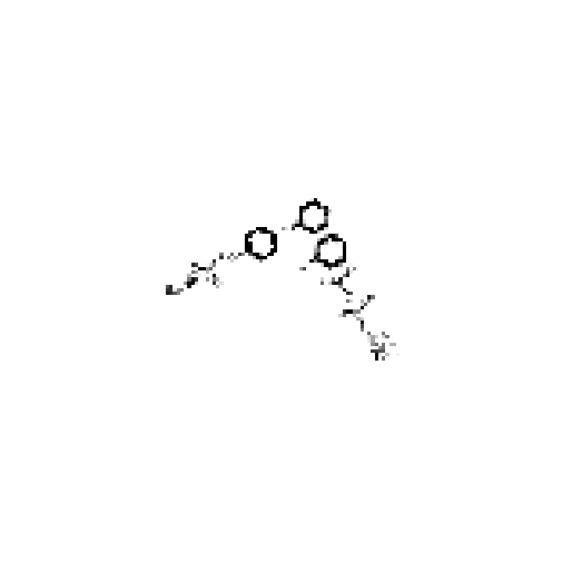 [Ba+2].[Ba+2].[Cd+2].[Cd+2].[O-]P([O-])[O-].[O-]P([O-])[O-].[O-]P([O-])[O-].[O-]c1ccccc1.[O-]c1ccccc1.[O-]c1ccccc1.[Zn+2].[Zn+2]